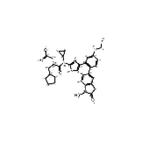 CN1C(=O)Cc2cc(-c3ccc(OCF)cc3-c3csc(N(C(=O)[C@@H](CC(=O)O)CC4CCCC4)C4CC4)n3)cnc21